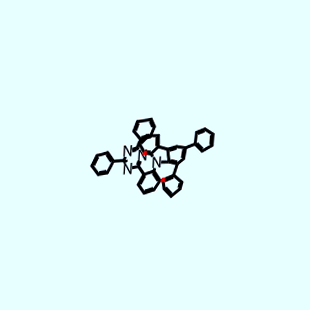 c1ccc(-c2cc(-c3ccccc3)c3c(c2)c2ccccc2n3-c2ccccc2-c2nc(-c3ccccc3)nc(-c3ccccc3)n2)cc1